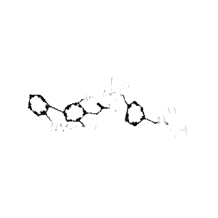 CNc1ccccc1-c1cc(C(C)C)c(CC(=O)N=S(N)(=O)c2ccc(CN(C)C)cc2)c(C(C)C)c1